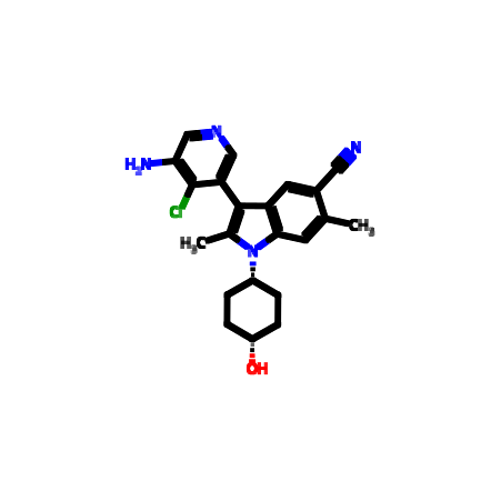 Cc1cc2c(cc1C#N)c(-c1cncc(N)c1Cl)c(C)n2[C@H]1CC[C@@H](O)CC1